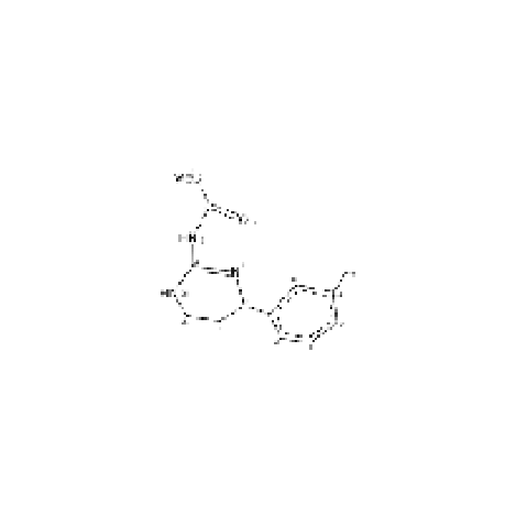 COC(=O)NC1=NC(c2cccc(C)c2)CCN1